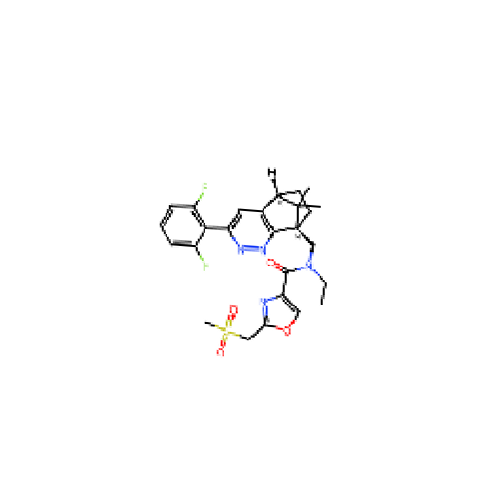 CCN(C[C@@]12CC[C@@H](c3cc(-c4c(F)cccc4F)nnc31)C2(C)C)C(=O)c1coc(CS(C)(=O)=O)n1